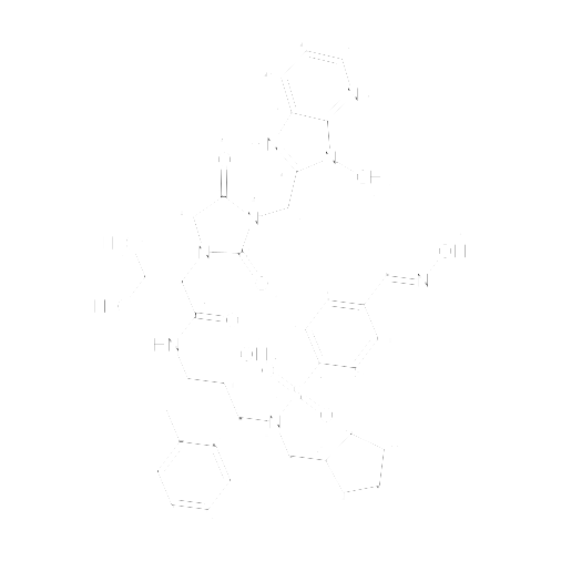 CC(C)[C@@H](C(=O)N[C@@H](Cc1ccccc1)[C@H](O)CN(CC1CCCC1)S(=O)(=O)c1ccc(/C=N/O)cc1)N1CC(=O)N(Cc2nc3cccnc3n2C)C1=O